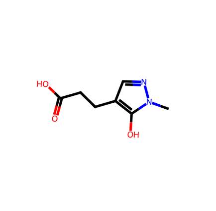 Cn1ncc(CCC(=O)O)c1O